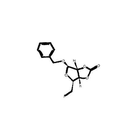 O=C1O[C@H]2[C@H](OCc3ccccc3)O[C@H](CI)[C@H]2O1